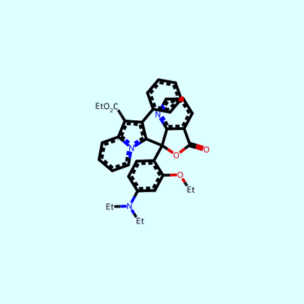 CCOC(=O)c1c(-c2ccccc2)c(C2(c3ccc(N(CC)CC)cc3OCC)OC(=O)c3cccnc32)n2ccccc12